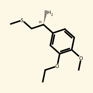 B[C@@H](CSC)c1ccc(OC)c(OCC)c1